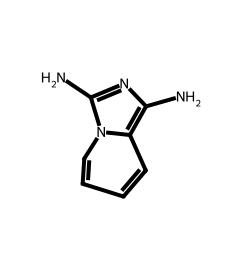 Nc1nc(N)n2ccccc12